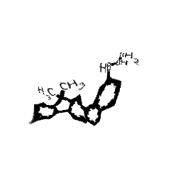 BBBc1ccc2ccc3cc4c(cc3c2c1)C(C)(C)c1ccccc1-4